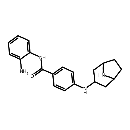 Nc1ccccc1NC(=O)c1ccc(NC2CC3CCC(C2)N3)cc1